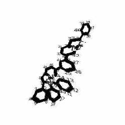 C1=C(c2ccccc2)[B-](c2ccccc2)(c2ccccc2)[n+]2cc(-c3cccc(-c4ccc5cc(-c6ccccc6)[cH-][n+]5c4)c3)ccc21